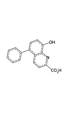 O=C(O)c1ccc2c(-c3ccccc3)ccc(O)c2n1